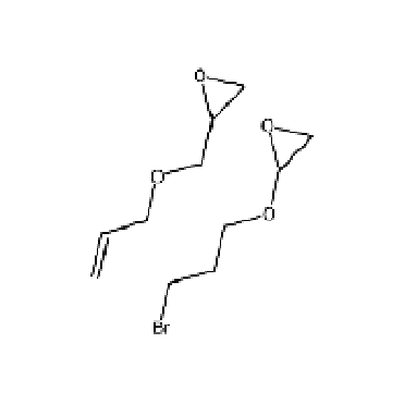 BrCCCOC1CO1.C=CCOCC1CO1